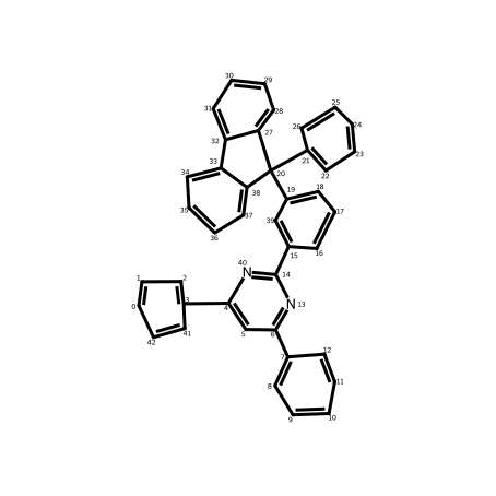 c1ccc(-c2cc(-c3ccccc3)nc(-c3cccc(C4(c5ccccc5)c5ccccc5-c5ccccc54)c3)n2)cc1